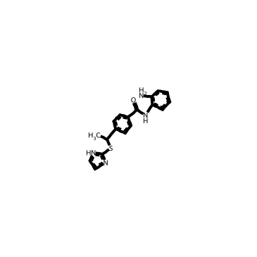 CC(Sc1ncc[nH]1)c1ccc(C(=O)Nc2ccccc2N)cc1